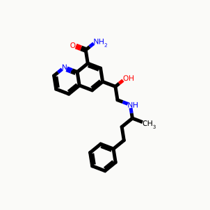 CC(CCc1ccccc1)NCC(O)c1cc(C(N)=O)c2ncccc2c1